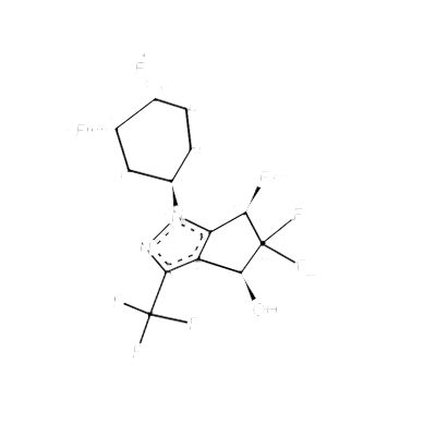 O[C@H]1c2c(C(F)(F)F)nn([C@@H]3CC[C@@H](F)[C@@H](F)C3)c2[C@@H](F)C1(F)F